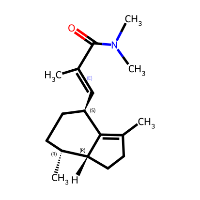 CC1=C2[C@H](/C=C(\C)C(=O)N(C)C)CC[C@@H](C)[C@H]2CC1